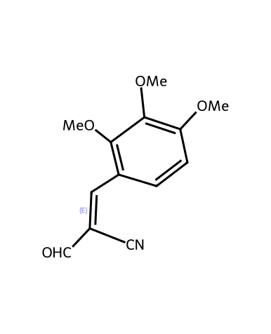 COc1ccc(/C=C(\C#N)C=O)c(OC)c1OC